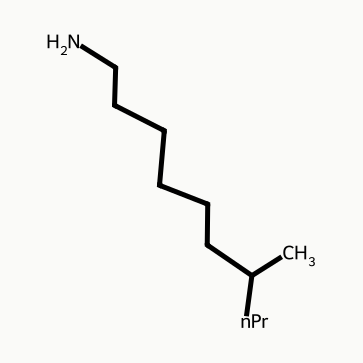 CCCC(C)CCCCCCN